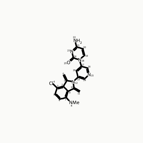 C=c1c2c(Cl)ccc(NC)c2c(=C)n1-c1cncc(-n2ccc(N)nc2=O)c1